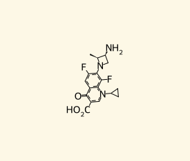 C[C@H]1[C@@H](N)CN1c1c(F)cc2c(=O)c(C(=O)O)cn(C3CC3)c2c1F